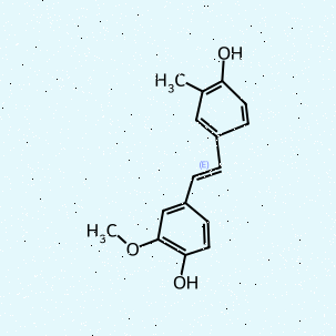 COc1cc(/C=C/c2ccc(O)c(C)c2)ccc1O